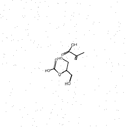 C=C(C)C(=O)O.O=C(O)OC(CO)CO